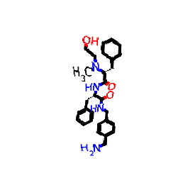 CN(CCO)[C@H](CC1CCCCC1)C(=O)N[C@@H](Cc1ccccc1)C(=O)NCc1ccc(CN)cc1